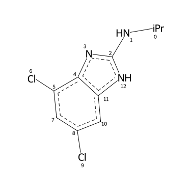 CC(C)Nc1nc2c(Cl)cc(Cl)cc2[nH]1